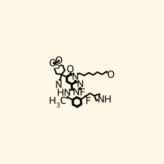 CC(Nc1ncnc2c1cc(C1(C#N)CCS(=O)(=O)CC1)c(=O)n2CCCCCCC=O)c1cccc(C(F)(F)CC2CNC2)c1